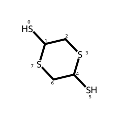 SC1CSC(S)CS1